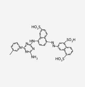 Cc1ccc[n+](-c2nc(N)nc(Nc3ccc(N=Nc4cc(S(=O)(=O)O)c5cccc(S(=O)(=O)O)c5c4)c4ccc(S(=O)(=O)O)cc34)n2)c1